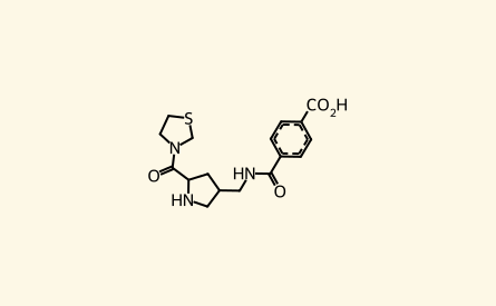 O=C(O)c1ccc(C(=O)NCC2CNC(C(=O)N3CCSC3)C2)cc1